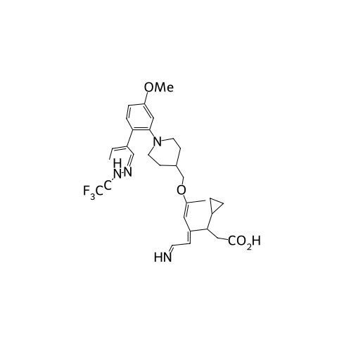 C/C=C(\C=N/NCC(F)(F)F)c1ccc(OC)cc1N1CCC(CO/C(C)=C/C(=C\C=N)C(CC(=O)O)C2CC2)CC1